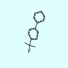 CC(C)(F)c1ccc(-c2ccccc2)cc1